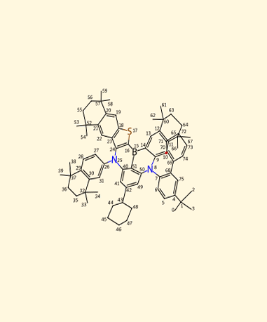 CC(C)(C)c1ccc(N2c3cc4c(cc3B3c5sc6cc7c(cc6c5N(c5ccc6c(c5)C(C)(C)CCC6(C)C)c5cc(C6CCCCC6)cc2c53)C(C)(C)CCC7(C)C)C(C)(C)CCC4(C)C)c(C2=CCCC=C2)c1